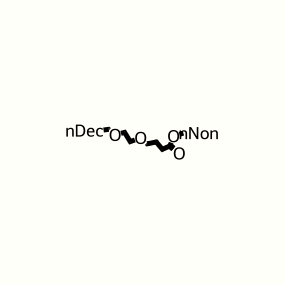 CCCCCCCCCCCOCCOCCCC(=O)OCCCCCCCCC